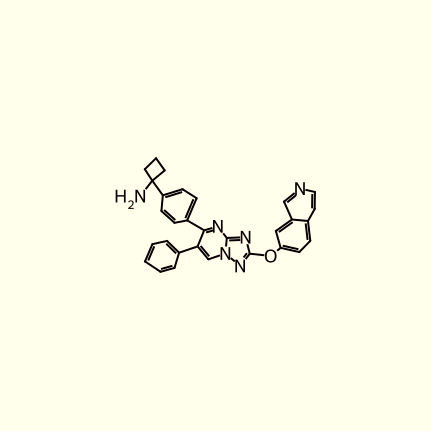 NC1(c2ccc(-c3nc4nc(Oc5ccc6ccncc6c5)nn4cc3-c3ccccc3)cc2)CCC1